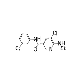 CCNc1ncc(C(=O)Nc2cccc(Cl)c2)cc1Cl